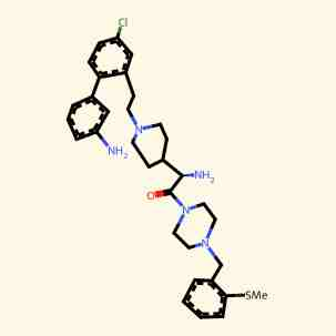 CSc1ccccc1CN1CCN(C(=O)[C@H](N)C2CCN(CCc3cc(Cl)ccc3-c3cccc(N)c3)CC2)CC1